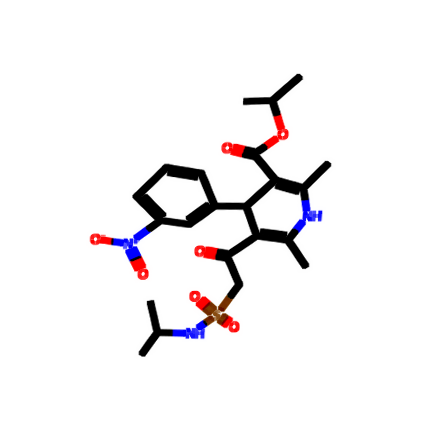 CC1=C(C(=O)CS(=O)(=O)NC(C)C)C(c2cccc([N+](=O)[O-])c2)C(C(=O)OC(C)C)=C(C)N1